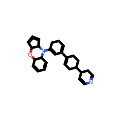 C1=CC2OC3C=CC=CC3N(C3=CC(C4=CCC(C5C=CN=CC5)CC4)=CCC3)C2C=1